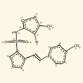 Cc1ccc(C=Cc2sccc2S(=O)(=O)Nc2onc(C)c2Br)cc1